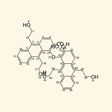 O=C(O)c1ccc2c(CCO)c3ccccc3c(CCO)c2c1Oc1c(C(=O)O)ccc2c(CCO)c3ccccc3c(CCO)c12